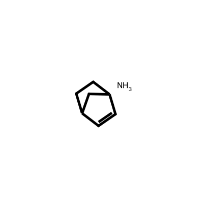 C1=CC2CCC1C2.N